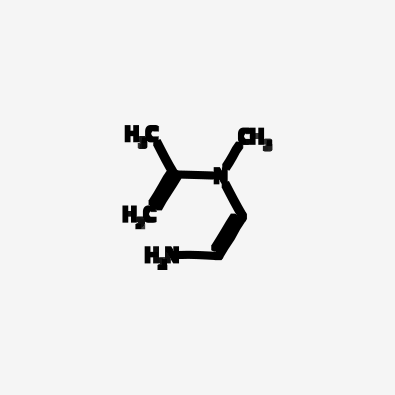 C=C(C)N(C)/C=C\N